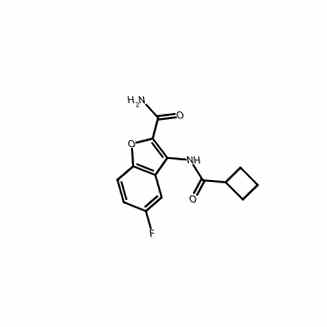 NC(=O)c1oc2ccc(F)cc2c1NC(=O)C1CCC1